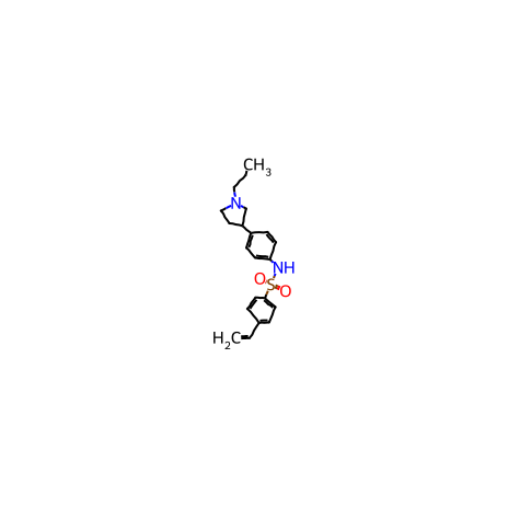 C=Cc1ccc(S(=O)(=O)Nc2ccc(C3CCN(CCC)C3)cc2)cc1